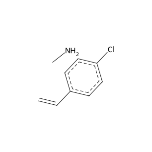 C=Cc1ccc(Cl)cc1.CN